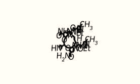 CCn1nc(C)cc1C(=O)Nc1nc2cc(C(N)=O)cc3c2n1C/C=C/Cn1c(NC(=O)c2cc(C)nn2CC)nc2cc(C(N)=O)cc(c21)OCC(C1CNC1)CO3